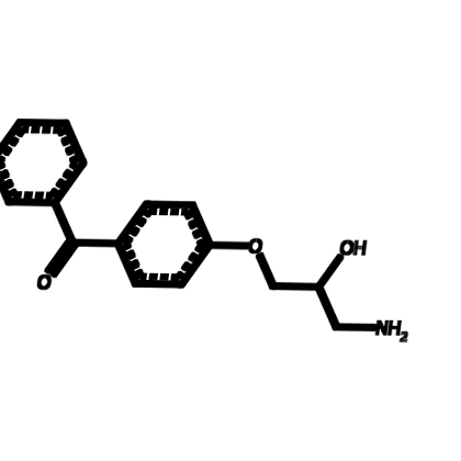 NCC(O)COc1ccc(C(=O)c2ccccc2)cc1